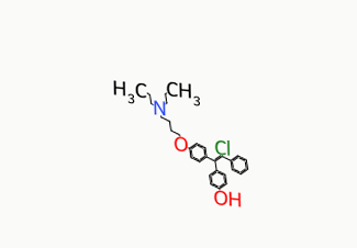 CCCN(CCC)CCCCOc1ccc(C(=C(Cl)c2ccccc2)c2ccc(O)cc2)cc1